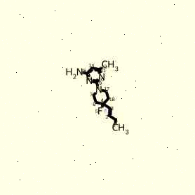 CC/C=C/C1(F)CCN(c2nc(C)cc(N)n2)CC1